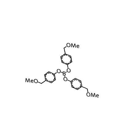 COCc1ccc(OB(Oc2ccc(COC)cc2)Oc2ccc(COC)cc2)cc1